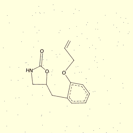 C=CCOc1ccccc1CC1CNC(=O)O1